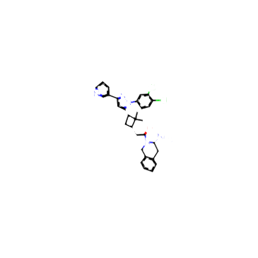 CC1(C)[C@@H](CC(=O)N2Cc3ccccc3C[C@@H]2N)C[C@@H]1c1cc(-c2cccnc2)nn1-c1ccc(Cl)c(Cl)c1